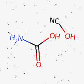 N#CO.NC(=O)O